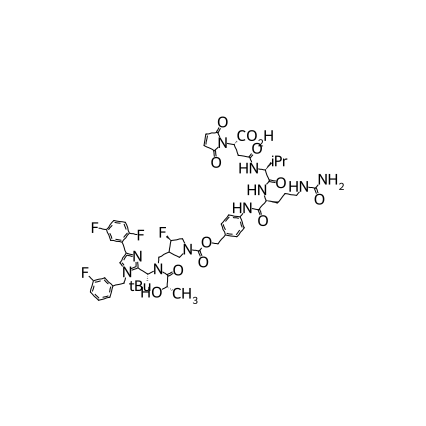 CC(C)[C@H](NC(=O)C[C@@H](C(=O)O)N1C(=O)C=CC1=O)C(=O)N[C@@H](CCCNC(N)=O)C(=O)Nc1ccc(COC(=O)N2CC(CN(C(=O)[C@H](C)O)[C@@H](c3nc(-c4cc(F)ccc4F)cn3Cc3cccc(F)c3)C(C)(C)C)[C@@H](F)C2)cc1